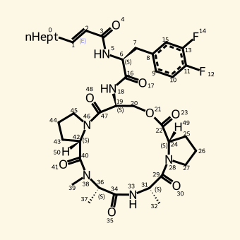 CCCCCCC/C=C/C(=O)N[C@@H](Cc1ccc(F)c(F)c1)C(=O)N[C@H]1COC(=O)[C@@H]2CCCN2C(=O)[C@H](C)NC(=O)[C@H](C)N(C)C(=O)[C@@H]2CCCN2C1=O